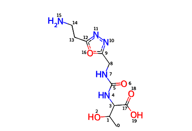 CC(O)C(NC(=O)NCc1nnc(CCN)o1)C(=O)O